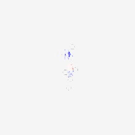 C1=CC2c3cccc(-n4c5ccccc5c5cc(-c6ccccc6)ccc54)c3OC2C=C1c1nc(-c2ccccc2)nc(-c2ccccc2)n1